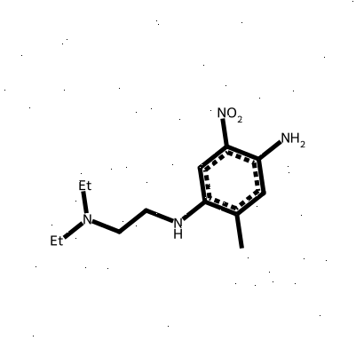 CCN(CC)CCNc1cc([N+](=O)[O-])c(N)cc1C